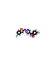 Fc1ccc2c(c1)CC(CN1CCC(c3noc4cc(F)ccc34)CC1)O2